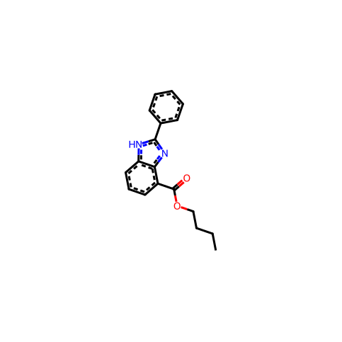 CCCCOC(=O)c1cccc2[nH]c(-c3ccccc3)nc12